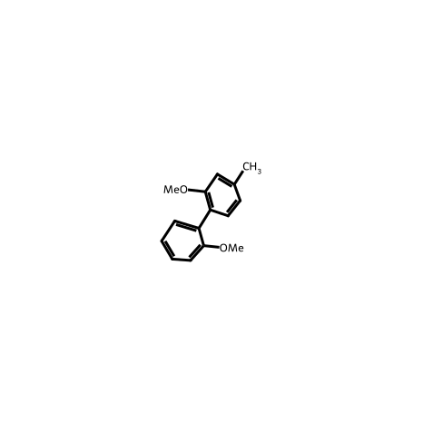 COc1ccccc1-c1ccc(C)cc1OC